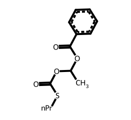 CCCSC(=O)OC(C)OC(=O)c1ccccc1